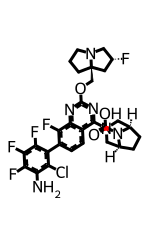 Nc1c(F)c(F)c(F)c(-c2ccc3c(N4C[C@H]5CC[C@@H](C4)N5C(=O)O)nc(OC[C@@]45CCCN4C[C@H](F)C5)nc3c2F)c1Cl